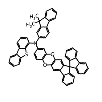 CC1(C)c2ccccc2-c2ccc(N(c3ccc4c(c3)Oc3cc5c(cc3O4)-c3ccccc3C53c4ccccc4-c4ccccc43)c3cccc4c3sc3ccccc34)cc21